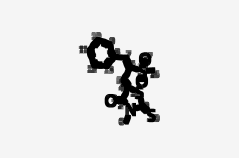 CN1C(=O)/C(=C/C(=C\c2ccccc2)S(C)(=O)=O)SC1=S